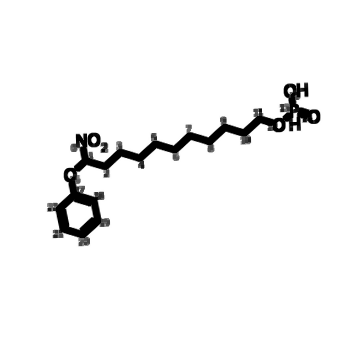 O=[N+]([O-])C(CCCCCCCCCCO[PH](=O)O)Oc1ccccc1